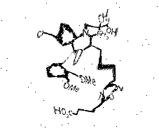 COc1cccc([C@H]2O[C@H](CCCc3noc(CCCC(=O)O)n3)C(=O)N(CC(C)(C)CO)c3ccc(Cl)cc32)c1OC